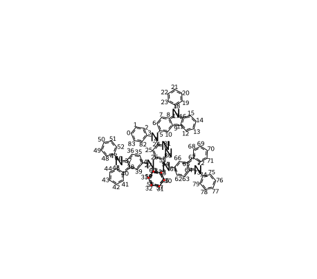 c1ccc(N(c2ccc3c(c2)c2ccccc2n3-c2ccccc2)c2cc(N(c3ccccc3)c3ccc4c(c3)c3ccccc3n4-c3ccccc3)c(N(c3ccccc3)c3ccc4c(c3)c3ccccc3n4-c3ccccc3)nn2)cc1